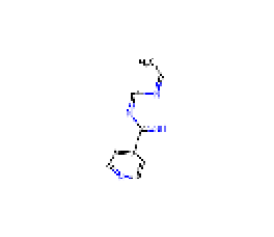 C/C=N\C=N/C(=N)c1ccncc1